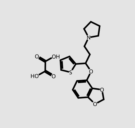 O=C(O)C(=O)O.c1csc(C(CCN2CCCC2)Oc2cccc3c2OCO3)c1